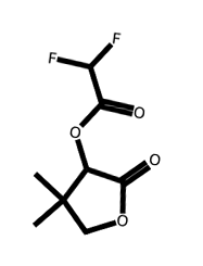 CC1(C)COC(=O)C1OC(=O)C(F)F